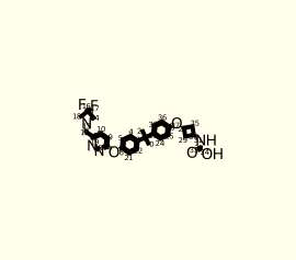 CC(C)(c1ccc(Oc2ccc(CN3CC(F)(F)C3)nn2)cc1)c1ccc(O[C@H]2C[C@H](NC(=O)O)C2)cc1